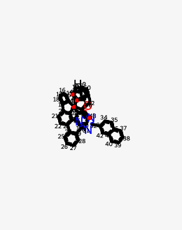 c1ccc2c(c1)Oc1ccccc1C21c2ccccc2-c2ccc(-c3ccccc3-c3nc(-c4ccc5ccccc5c4)nc(C45CC6C[C@H]7CC(C4)[C@@]67C5)n3)cc21